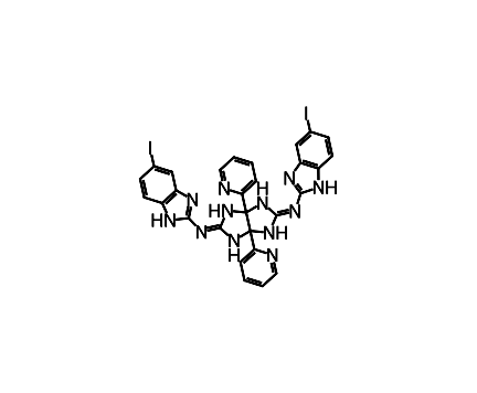 Ic1ccc2[nH]c(N=C3NC4(c5ccccn5)NC(=Nc5nc6cc(I)ccc6[nH]5)NC4(c4ccccn4)N3)nc2c1